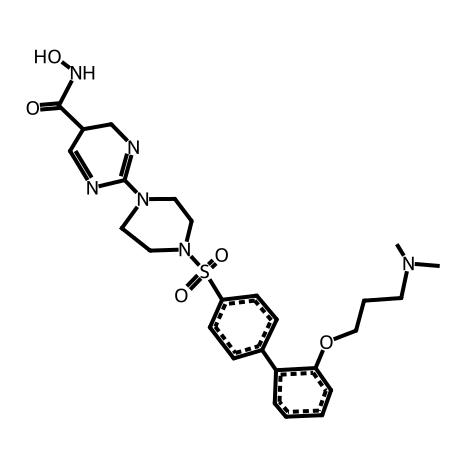 CN(C)CCCOc1ccccc1-c1ccc(S(=O)(=O)N2CCN(C3=NCC(C(=O)NO)C=N3)CC2)cc1